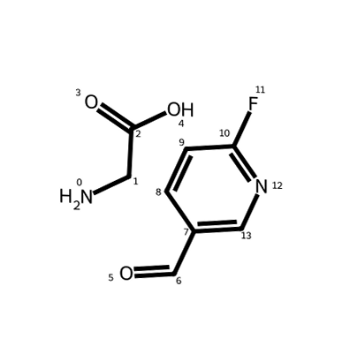 NCC(=O)O.O=Cc1ccc(F)nc1